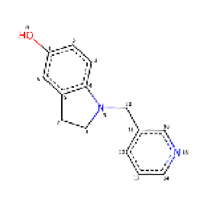 Oc1ccc2c(c1)CCN2Cc1cccnc1